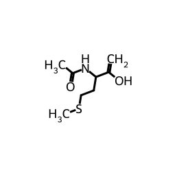 C=C(O)C(CCSC)NC(C)=O